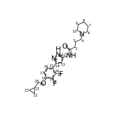 O=C(CCCN1CCCCC1)Nc1cc(-c2ccc(OCC3CC3)c(F)c2F)n[nH]1